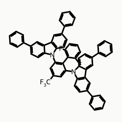 Fc1cccc(F)c1-c1c(-n2c3ccc(-c4ccccc4)cc3c3cc(-c4ccccc4)ccc32)cc(C(F)(F)F)cc1-n1c2ccc(-c3ccccc3)cc2c2cc(-c3ccccc3)ccc21